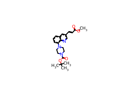 COC(=O)/C=C/c1cnc2c(N3CCN(C(=O)OC(C)(C)C)CC3)cccc2c1